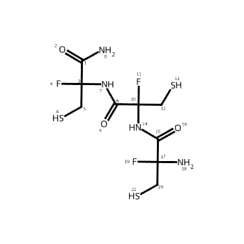 NC(=O)C(F)(CS)NC(=O)C(F)(CS)NC(=O)C(N)(F)CS